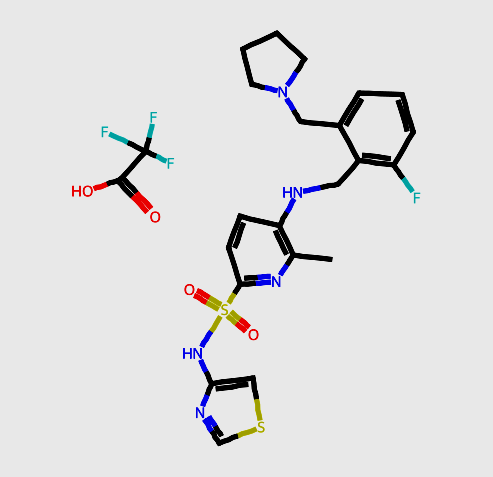 Cc1nc(S(=O)(=O)Nc2cscn2)ccc1NCc1c(F)cccc1CN1CCCC1.O=C(O)C(F)(F)F